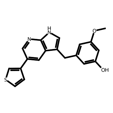 COc1cc(O)cc(Cc2c[nH]c3ncc(-c4ccsc4)cc23)c1